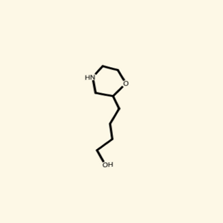 OCCCCC1CNCCO1